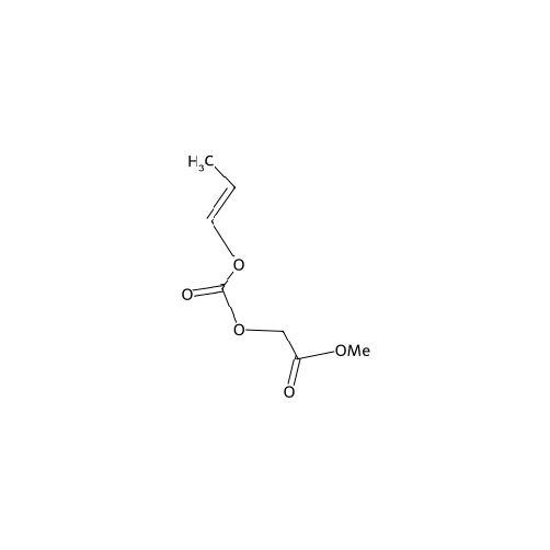 CC=COC(=O)OCC(=O)OC